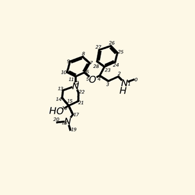 CNCCC(Oc1ccccc1N1CCC(O)(CN(C)C)CC1)c1ccccc1